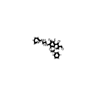 O=Cc1cn2c3c(c(NCCNC4=CCCC=N4)c(F)c(F)c3c1=O)OC[C@@H]2c1ccccc1